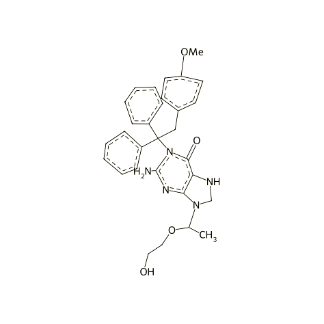 COc1ccc(CC(c2ccccc2)(c2ccccc2)n2c(N)nc3c(c2=O)NCN3C(C)OCCO)cc1